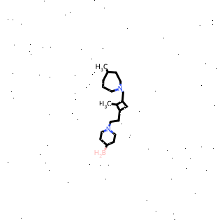 BC1CCN(CCC2CC(CN3CCCC(C)CC3)C2C)CC1